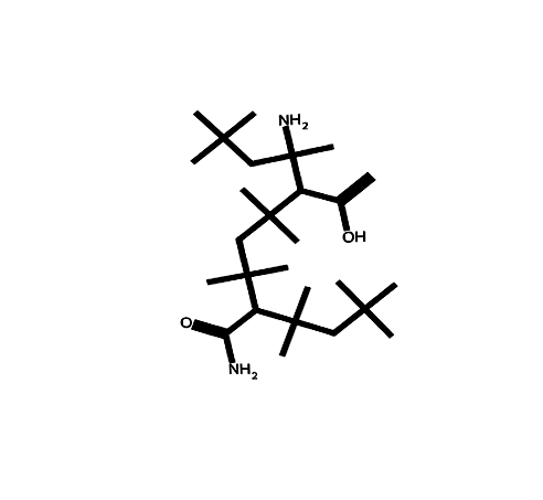 C=C(O)C(C(C)(C)CC(C)(C)C(C(N)=O)C(C)(C)CC(C)(C)C)C(C)(N)CC(C)(C)C